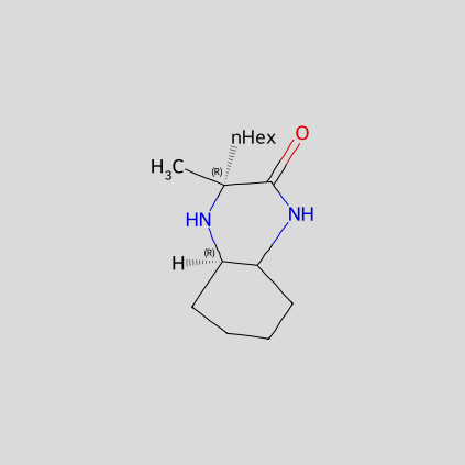 CCCCCC[C@@]1(C)N[C@@H]2CCCCC2NC1=O